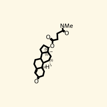 CNC(=O)CCC(=O)O[C@H]1CCC2C3CCC4=CC(=O)CC[C@@H]4C3[C@@H](C)C[C@@]21C